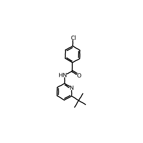 CC(C)(C)c1cccc(NC(=O)c2ccc(Cl)cc2)n1